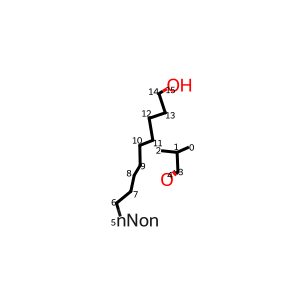 CC(C)C=O.CCCCCCCCCCCCCCCCCCO